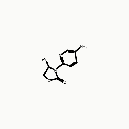 CC(C)C1COC(=O)N1c1ccc(N)cn1